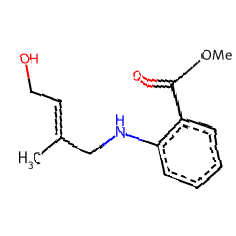 COC(=O)c1ccccc1NCC(C)=CCO